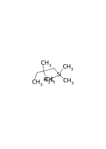 CCC(C)(C)C[Si](C)(C)C